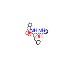 NC(Cc1ccccc1)C(O)CC(C/C=C/c1ccccc1)C(=O)NC1c2ccccc2CC1O